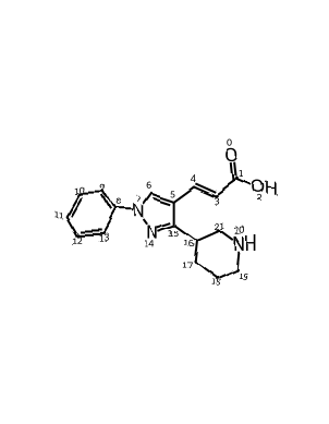 O=C(O)C=Cc1cn(-c2ccccc2)nc1C1CCCNC1